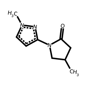 CC1CC(=O)N(c2ccn(C)n2)C1